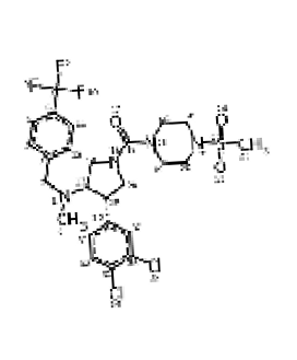 CN(Cc1ccc(C(F)(F)F)cc1)[C@H]1CN(C(=O)N2CCN(S(C)(=O)=O)CC2)C[C@@H]1c1ccc(Cl)c(Cl)c1